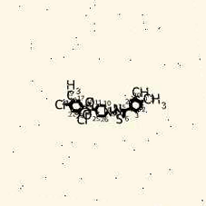 Cc1ccc(-c2csc(N3CCC(S(=O)(=O)c4cc(C)c(Cl)cc4Cl)CC3)n2)cc1C